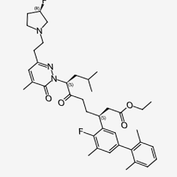 CCOC(=O)C[C@H](CCC(=O)[C@H](CC(C)C)n1nc(CCN2CC[C@@H](F)C2)cc(C)c1=O)c1cc(-c2c(C)cccc2C)cc(C)c1F